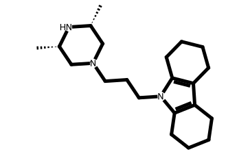 C[C@@H]1CN(CCCn2c3c(c4c2CCCC4)CCCC3)C[C@H](C)N1